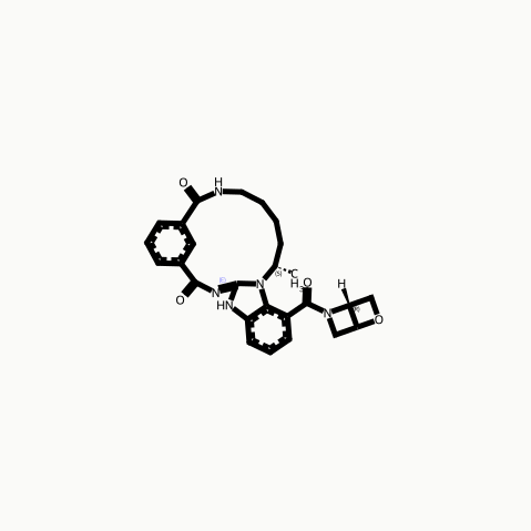 C[C@H]1CCCCNC(=O)c2cccc(c2)C(=O)/N=C2\Nc3cccc(C(=O)N4CC5OC[C@H]54)c3N21